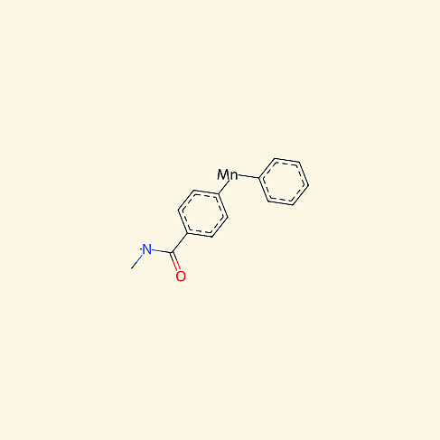 C[N]C(=O)c1cc[c]([Mn][c]2ccccc2)cc1